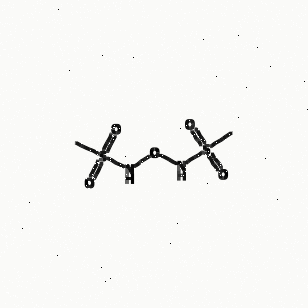 CS(=O)(=O)NONS(C)(=O)=O